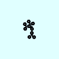 c1ccc(N(c2ccccc2)c2ccc(-c3ccc4sc5c(N(c6ccccc6)c6ccccc6)cc(N(c6ccccc6)c6ccccc6)cc5c4c3)cc2)cc1